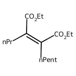 CCCCC/C(C(=O)OCC)=C(\CCC)C(=O)OCC